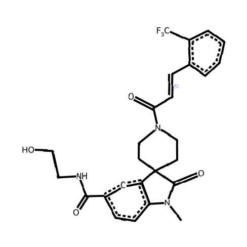 CN1C(=O)C2(CCN(C(=O)/C=C/c3ccccc3C(F)(F)F)CC2)c2cc(C(=O)NCCO)ccc21